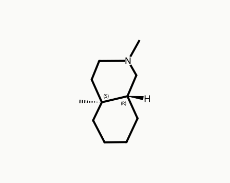 CN1CC[C@]2(C)CCCC[C@H]2C1